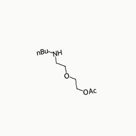 CCCCNCCOCCOC(C)=O